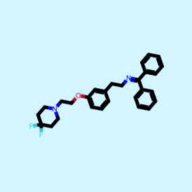 FC1(F)CCN(CCOc2cccc(CCN=C(c3ccccc3)c3ccccc3)c2)CC1